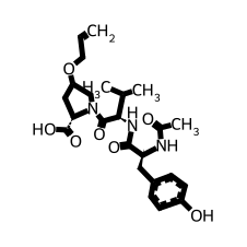 C=CCOC1C[C@@H](C(=O)O)N(C(=O)[C@@H](NC(=O)[C@H](Cc2ccc(O)cc2)NC(C)=O)C(C)C)C1